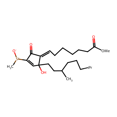 COC(=O)CCCCCC=C1C(=O)C([S+](C)[O-])=CC1(O)CCC(C)CCCC(C)C